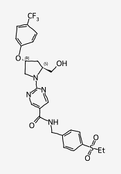 CCS(=O)(=O)c1ccc(CNC(=O)c2cnc(N3C[C@H](Oc4ccc(C(F)(F)F)cc4)C[C@H]3CO)nc2)cc1